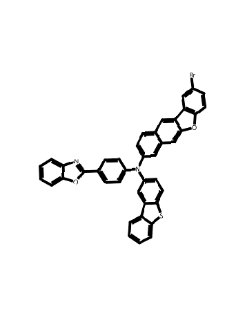 Brc1ccc2oc3cc4cc(N(c5ccc(-c6nc7ccccc7o6)cc5)c5ccc6sc7ccccc7c6c5)ccc4cc3c2c1